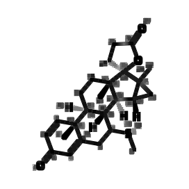 CSC1CC2=CC(=O)C=C[C@]2(C)[C@H]2CC[C@@]3(C)[C@H]([C@H]12)[C@H]1CC1(C)[C@@]31CCC(=O)O1